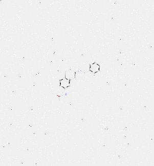 CC(=O)Nc1ccc2c(c1)CC(NCc1ccccc1)CC2